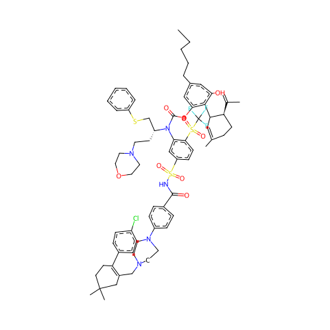 C=C(C)[C@H]1CCC(C)=CC1c1c(O)cc(CCCCC)cc1OC(=O)N(c1cc(S(=O)(=O)NC(=O)c2ccc(N3CCN(CC4=C(c5ccc(Cl)cc5)CCC(C)(C)C4)CC3)cc2)ccc1S(=O)(=O)C(F)(F)F)[C@H](CCN1CCOCC1)CSc1ccccc1